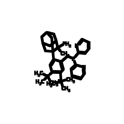 CC1(P)C2CC3CC(C2)CC1(c1cc([Si](C)(C)C)c([Si](C)(C)C)cc1CP(c1ccccn1)c1ccccn1)C3